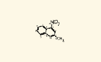 Cc1cc([N+](=O)[O-])c2ccccc2c1